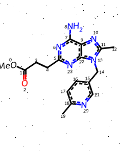 COC(=O)CCc1nc(N)c2nc(C)n(Cc3ccc(C)nc3)c2n1